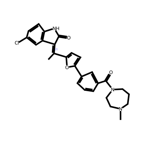 C/C(=C1/C(=O)Nc2ccc(Cl)cc21)c1ccc(-c2cccc(C(=O)N3CCCN(C)CC3)c2)o1